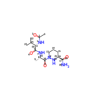 CC(=O)N[C@H](C(=O)N[C@@H](C)C(=O)N1CCC[C@@H](C(N)=O)N1)C(C)C